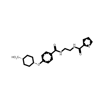 O=C(NCCNC(=O)c1cccs1)c1ccc(O[C@H]2CC[C@@H](C(=O)O)CC2)cc1